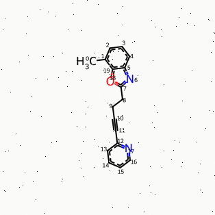 Cc1cccc2nc(CCC#Cc3ccccn3)oc12